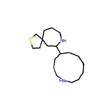 C1CCCC(C2CC3(CCCN2)CCSC3)CCCNCC1